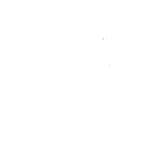 C=C(C)C(=O)N1C(=O)C2CC3CC(O)CC3CC21